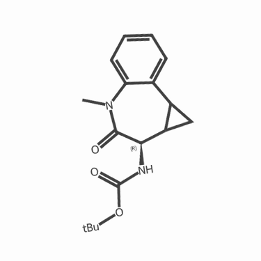 CN1C(=O)[C@H](NC(=O)OC(C)(C)C)C2CC2c2ccccc21